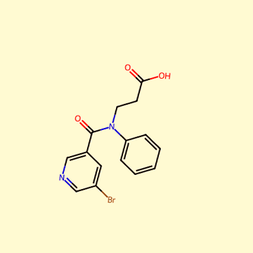 O=C(O)CCN(C(=O)c1cncc(Br)c1)c1ccccc1